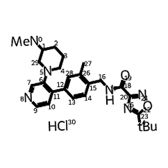 CNC1CCCN(c2cnccc2-c2ccc(CNC(=O)c3noc(C(C)(C)C)n3)c(C)c2)C1.Cl